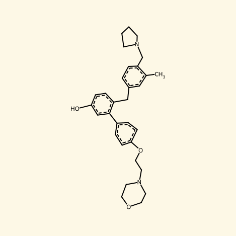 Cc1cc(Cc2ccc(O)cc2-c2ccc(OCCN3CCOCC3)cc2)ccc1CN1CCCC1